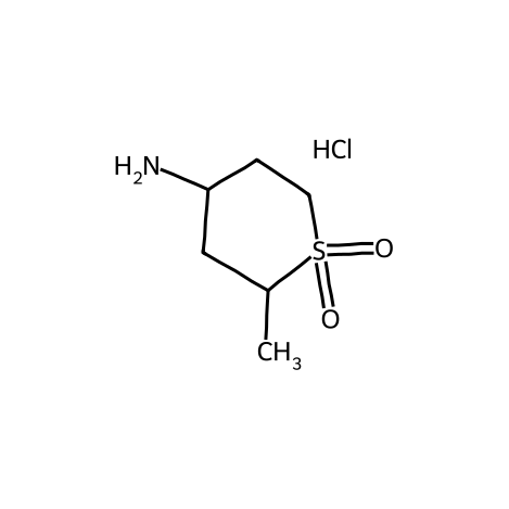 CC1CC(N)CCS1(=O)=O.Cl